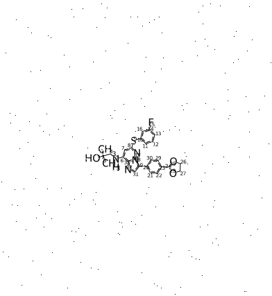 CC(C)(O)CNc1cc(Sc2cccc(F)c2)nn2c(-c3ccc(C4OCCO4)cc3)cnc12